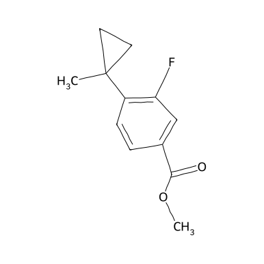 COC(=O)c1ccc(C2(C)CC2)c(F)c1